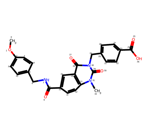 COc1ccc(CNC(=O)c2ccc3c(c2)c(=O)n(Cc2ccc(C(=O)O)cc2)c(=O)n3C)cc1